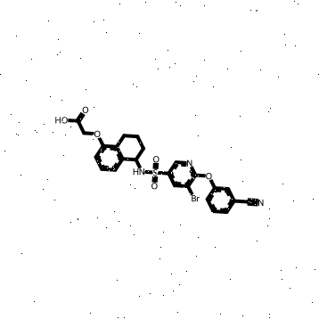 N#Cc1cccc(Oc2ncc(S(=O)(=O)NC3CCCc4c(OCC(=O)O)cccc43)cc2Br)c1